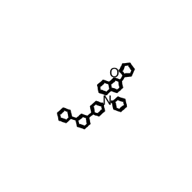 c1ccc(-c2cccc(-c3ccc(N(c4ccccc4)c4cccc5c4ccc4c6ccccc6oc54)cc3)c2)cc1